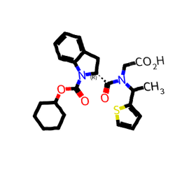 CC(c1cccs1)N(CC(=O)O)C(=O)[C@H]1Cc2ccccc2N1C(=O)OC1CCCCC1